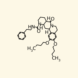 CCCCOc1cc2c(cc1OCCCC)[C@H]1C[C@@H]3[C@@H](CCCN3C(=O)NCCc3ccccc3)C(=O)N1CC2